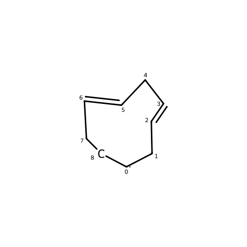 [CH]1C/C=C/C/C=C/CC1